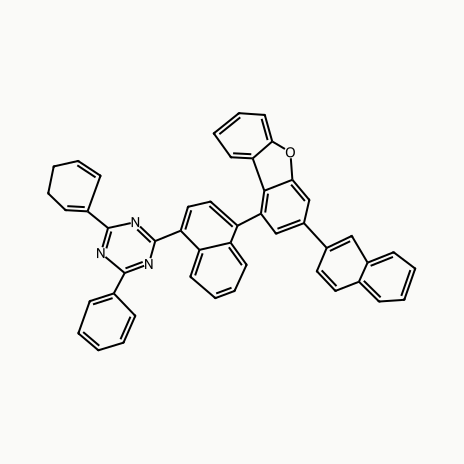 C1=CC(c2nc(-c3ccccc3)nc(-c3ccc(-c4cc(-c5ccc6ccccc6c5)cc5oc6ccccc6c45)c4ccccc34)n2)=CCC1